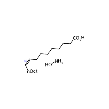 CCCCCCCC/C=C\CCCCCCCC(=O)O.NO